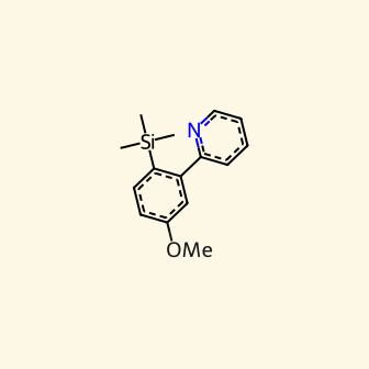 COc1ccc([Si](C)(C)C)c(-c2ccccn2)c1